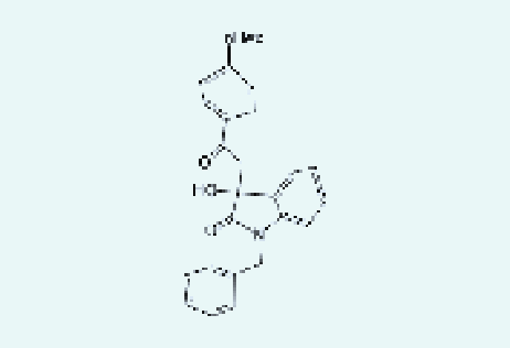 CCCCCCc1ccc(C(=O)CC2(O)C(=O)N(Cc3ccccc3)c3ccccc32)cc1